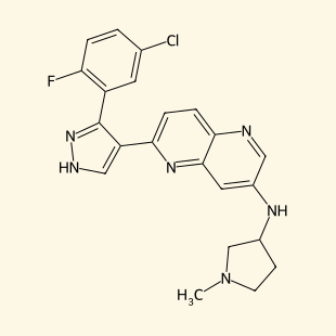 CN1CCC(Nc2cnc3ccc(-c4c[nH]nc4-c4cc(Cl)ccc4F)nc3c2)C1